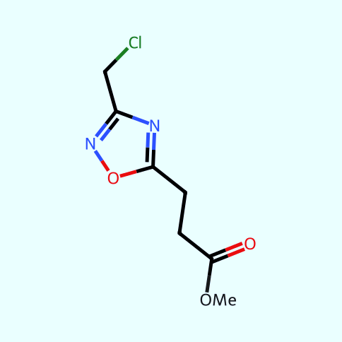 COC(=O)CCc1nc(CCl)no1